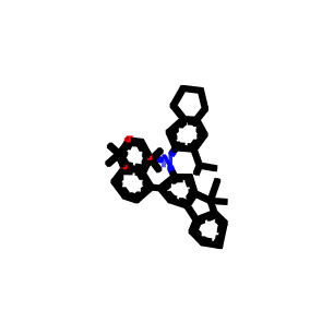 CC(C)c1cc2c(cc1N(c1ccccc1)c1cc3c(cc1-c1cccc4c1C(C)(C)CCC4(C)C)-c1ccccc1C3(C)C)CCCC2